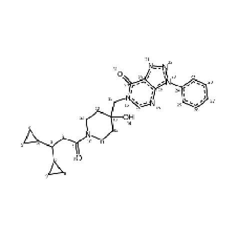 O=C(CC(C1CC1)C1CC1)N1CCC(O)(Cn2cnc3c(nnn3-c3ccccc3)c2=O)CC1